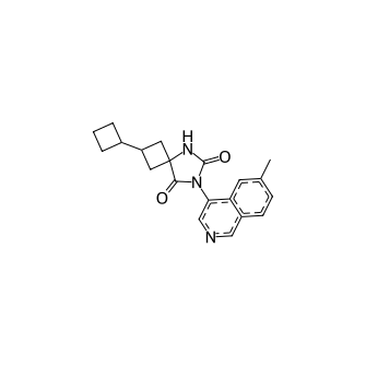 Cc1ccc2cncc(N3C(=O)NC4(CC(C5CCC5)C4)C3=O)c2c1